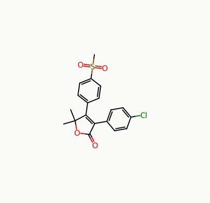 CC1(C)OC(=O)C(c2ccc(Cl)cc2)=C1c1ccc(S(C)(=O)=O)cc1